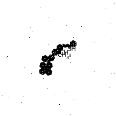 CC1(C)c2cc(C=C/C=C(\S)c3ccccc3)ccc2-c2ccc(-c3ccc4c(c3)c3ccccc3n4-c3ccc4c(c3)C(c3ccccc3)(c3ccccc3)c3ccccc3-4)cc21